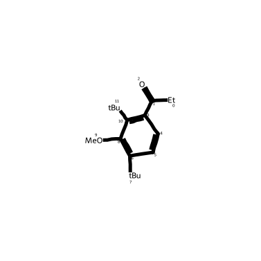 CCC(=O)c1ccc(C(C)(C)C)c(OC)c1C(C)(C)C